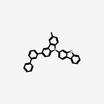 Cc1ccc2c(c1)c1cc(-c3cccc(-c4ccccc4)c3)ccc1n2-c1ccc2c(c1)oc1ccccc12